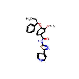 CCC(Oc1ccc(C(=O)Nc2nnc(-c3ccncc3)s2)cc1OC)c1ccccc1